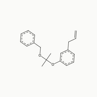 C=CCc1cccc(OC(C)(C)OCc2ccccc2)c1